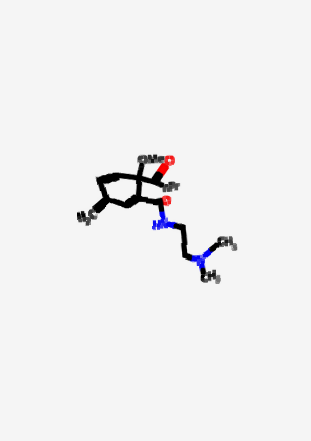 C=C1C=CC(OC)(C(=O)CCC)C(C(=O)NCCN(C)C)=C1